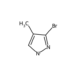 CC1=C[N]N=C1Br